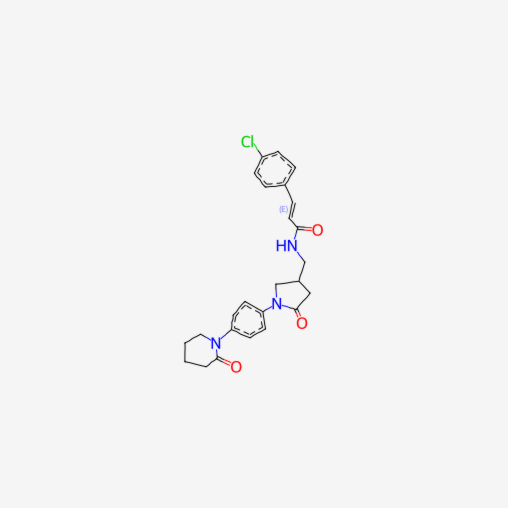 O=C(/C=C/c1ccc(Cl)cc1)NCC1CC(=O)N(c2ccc(N3CCCCC3=O)cc2)C1